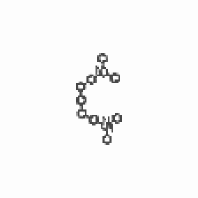 c1ccc(-c2cc(-c3ccccc3)nc(-c3ccc(-c4cccc(-c5ccc(-c6cccc(-c7ccc(-c8cc(-c9ccccc9)nc(-c9ccccc9)n8)cc7)c6)cc5)c4)cc3)c2)cc1